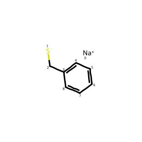 [Na+].[S-]Cc1ccccc1